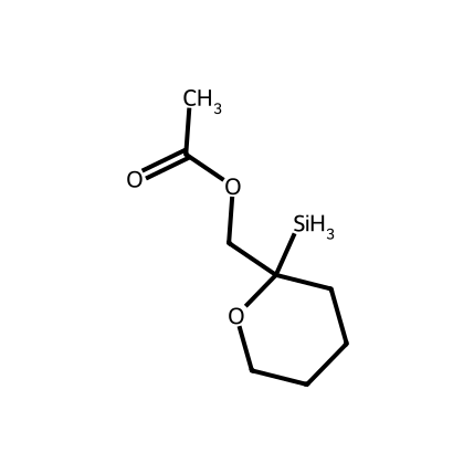 CC(=O)OCC1([SiH3])CCCCO1